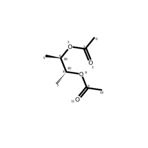 CC(=O)O[C@H](C)[C@@H](C)OC(C)=O